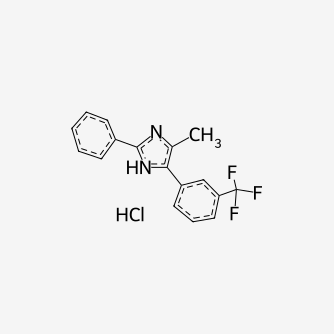 Cc1nc(-c2ccccc2)[nH]c1-c1cccc(C(F)(F)F)c1.Cl